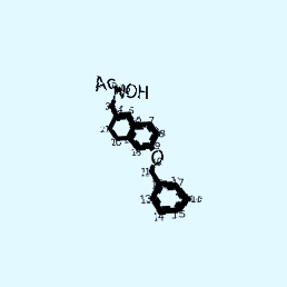 CC(=O)N(O)CC1=Cc2ccc(OCc3ccccc3)cc2CC1